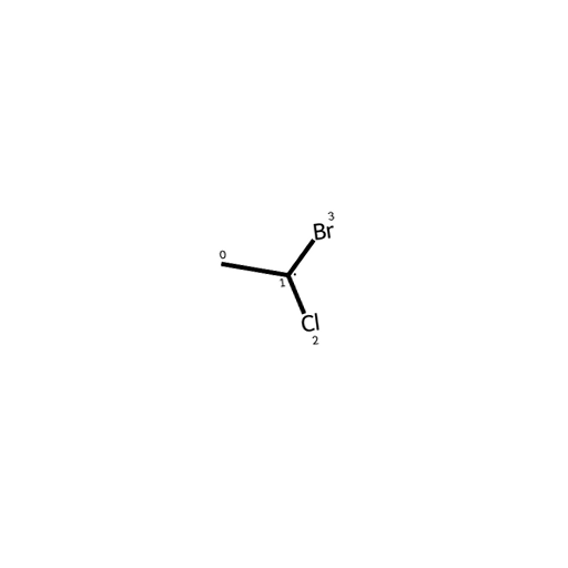 C[C](Cl)Br